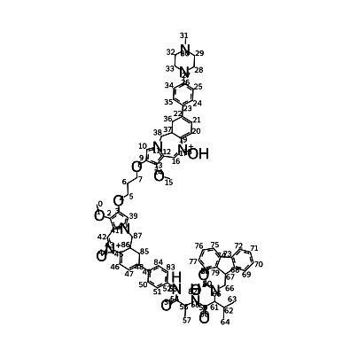 COc1c(OCCCOc2cn3c(c2OC)C=[N+](O)C2=CC=C(c4ccc(N5CCN(C)CC5)cc4)CC2C3)cn2c1C=[N+]([O-])C1=CC=C(c3ccc(NC(=O)C(C)NC(=O)C(C(C)C)N(CC4c5ccccc5-c5ccccc54)C(=O)[O-])cc3)CC1C2